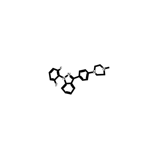 CN1CCN(c2ccc(-c3nn(-c4c(F)cccc4F)c4ccccc34)cc2)CC1